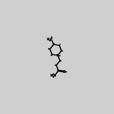 CC1CCN(CCC(N)=O)CC1